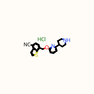 Cl.N#Cc1ccc(COc2cccc(C3CCNCC3)n2)c2sccc12